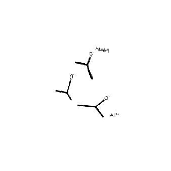 CC(C)[O-].CC(C)[O-].CC(C)[O-].[Al+3].[NaH]